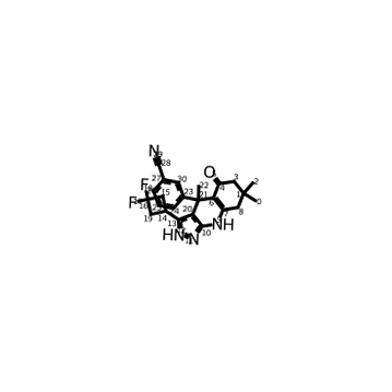 CC1(C)CC(=O)C2=C(C1)Nc1n[nH]c(C3CC(F)(F)C3)c1C2(C)c1cccc(C#N)c1